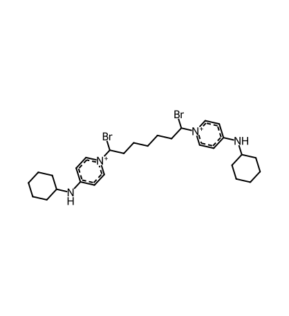 BrC(CCCCCC(Br)[n+]1ccc(NC2CCCCC2)cc1)[n+]1ccc(NC2CCCCC2)cc1